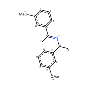 COc1cccc(/C(C)=N/C(C)c2cccc(OC)c2)c1